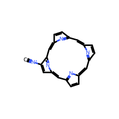 [C-]#[N+]C1=CC2=CC3=NC(=CC4=NC(=CC5=NC(=CC1=N2)C=C5)C=C4)C=C3